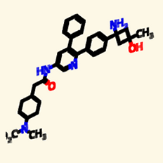 CN(C(=O)O)C1CCC(CC(=O)Nc2cnc(-c3ccc(C4(N)CC(C)(O)C4)cc3)c(-c3ccccc3)c2)CC1